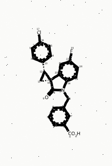 O=C(O)c1cccc(CN2C(=O)[C@]3(C[C@@H]3c3ccc(Cl)cc3)c3cc(F)ccc32)c1